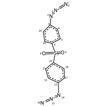 [N-]=[N+]=Nc1ccc(S(=O)(=O)c2ccc(N=[N+]=[N-])cc2)cc1